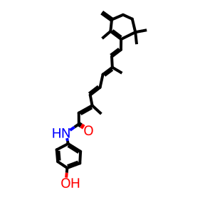 C=C1CCC(C)(C)C(/C=C/C(C)=C/C=C/C(C)=C/C(=O)Nc2ccc(O)cc2)=C1C